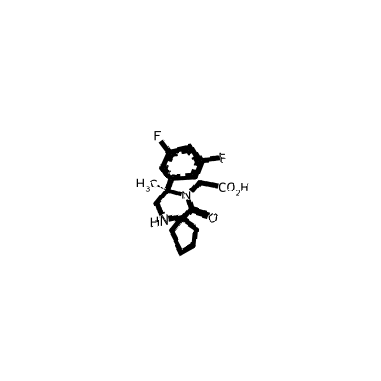 C[C@@]1(c2cc(F)cc(F)c2)CNC2(CCCC2)C(=O)N1CC(=O)O